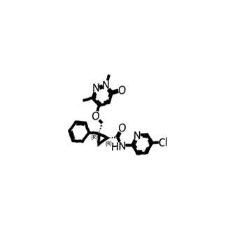 Cc1nn(C)c(=O)cc1OC[C@@]1(C2C=CC=CC2)C[C@H]1C(=O)Nc1ccc(Cl)cn1